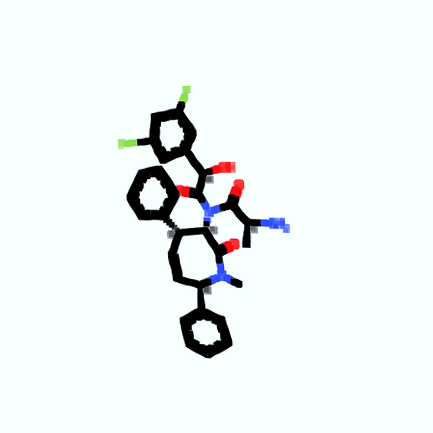 C[C@H](N)C(=O)N(C(=O)[C@H](O)c1cc(F)cc(F)c1)[C@@H]1C(=O)N(C)[C@@H](c2ccccc2)C=C[C@@H]1c1ccccc1